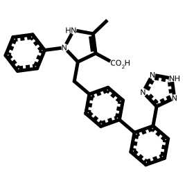 CC1=C(C(=O)O)C(Cc2ccc(-c3ccccc3-c3nn[nH]n3)cc2)N(c2ccccc2)N1